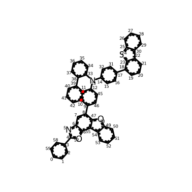 c1ccc(-c2nc3cc(-c4ccc(N(c5ccc(-c6cccc7c6sc6ccccc67)cc5)c5ccccc5-c5ccccc5)cc4)c4oc5ccccc5c4c3o2)cc1